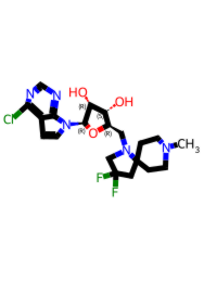 CN1CCC2(CC1)CC(F)(F)CN2C[C@H]1O[C@@H](n2ccc3c(Cl)ncnc32)[C@H](O)[C@@H]1O